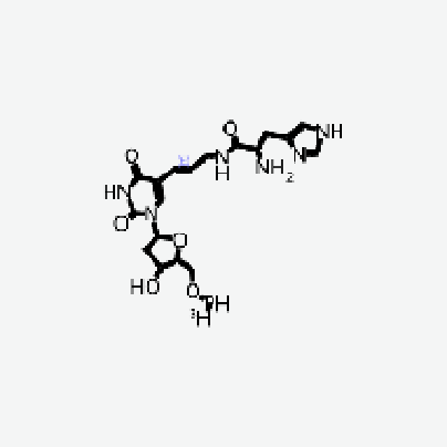 [3H]POCC1OC(n2cc(/C=C/CNC(=O)C(N)Cc3c[nH]cn3)c(=O)[nH]c2=O)CC1O